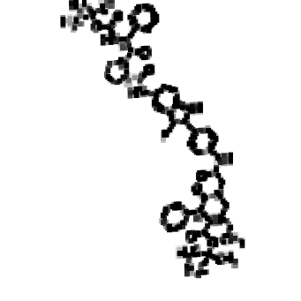 CCCCN(CC(=O)Nc1ccc(-c2[nH]c3ccc(NC(=O)[C@@H]4CCCN4C(=O)[C@@H](NC(=O)OC(C)(C)C)c4ccccc4)cc3c2F)cc1)C(=O)[C@@H](NC(=O)OC(C)(C)C)c1ccccc1